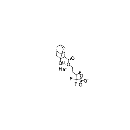 O=C(OCCC(F)C(F)(F)S(=O)(=O)[O-])C1C2CC3CC(C2)CC1(O)C3.[Na+]